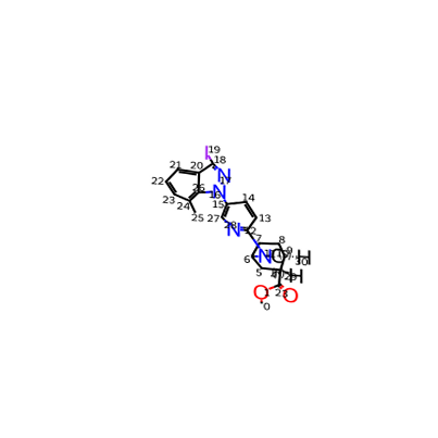 COC(=O)[C@@H]1CC2CC[C@@H]1CN2c1ccc(-n2nc(I)c3cccc(C)c32)cn1